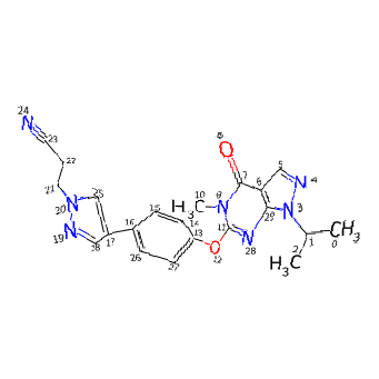 CC(C)n1ncc2c(=O)n(C)c(Oc3ccc(-c4cnn(CCC#N)c4)cc3)nc21